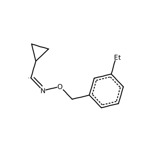 CCc1cccc(CO/N=[C]\C2CC2)c1